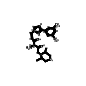 CC1COCC(C)N1CC(=O)N(N)C(=O)/C=C\n1cnc(-c2cc(C(F)(F)F)cc(C(F)(F)F)c2)n1